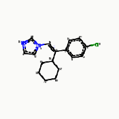 Clc1ccc(/C(=C/n2ccnc2)C2CCCCC2)cc1